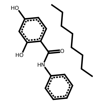 CCCCCCCC.O=C(Nc1ccccc1)c1ccc(O)cc1O